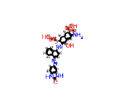 Nc1cc2c(O)c(N=Nc3ccc(N=Nc4ccc5[nH]c(=O)[nH]c5c4)c4ccccc34)c(SOOO)cc2cc1S(=O)(=O)O